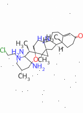 C[C@@H]1CN(CCCl)[C@@]2(N)[C@@H](C)[C@@]3(CC[C@@H]4C5(C[C@H]6[C@@]4(N)CCC4=CC(=O)CC[C@@]46C)CC53C)O[C@]2(N)C1